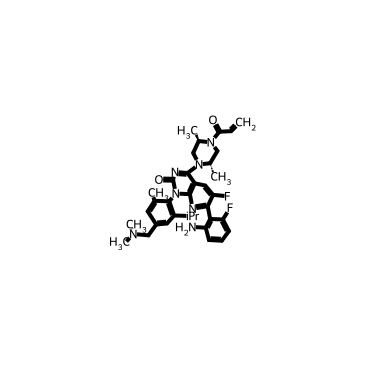 C=CC(=O)N1C[C@H](C)N(c2nc(=O)n(-c3c(C)cc(CN(C)C)cc3C(C)C)c3nc(-c4c(N)cccc4F)c(F)cc23)C[C@H]1C